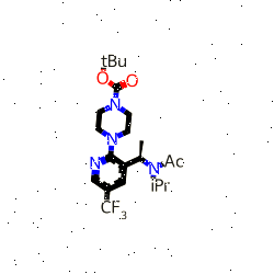 CC(=O)N(C(C)C)[C@H](C)c1cc(C(F)(F)F)cnc1N1CCN(C(=O)OC(C)(C)C)CC1